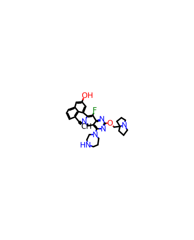 C#Cc1cccc2cc(O)cc(-c3ncc4c(N5CCCNCC5)nc(OCC56CCCN5CCC6)nc4c3F)c12